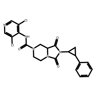 O=C(Nc1c(Cl)cncc1Cl)N1CCN2C(=O)N(C3CC3c3ccccc3)C(=O)C2C1